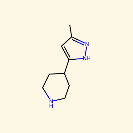 Cc1cc(C2CCNCC2)[nH]n1